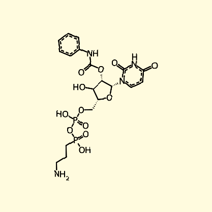 NCCCP(=O)(O)OP(=O)(O)OC[C@H]1O[C@@H](n2ccc(=O)[nH]c2=O)[C@@H](OC(=O)Nc2ccccc2)C1O